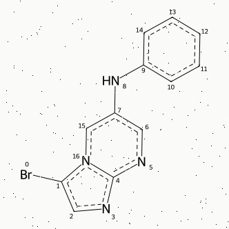 Brc1cnc2ncc(Nc3ccccc3)cn12